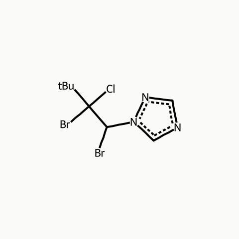 CC(C)(C)C(Cl)(Br)C(Br)n1cncn1